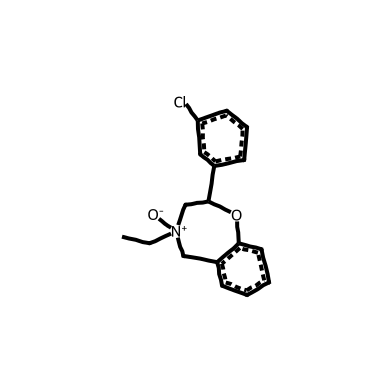 CC[N+]1([O-])Cc2ccccc2OC(c2cccc(Cl)c2)C1